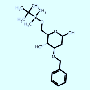 CC(C)(C)[Si](C)(C)OC[C@H]1OC(O)C[C@@H](OCc2ccccc2)[C@@H]1O